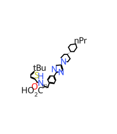 CCC[C@H]1CC[C@H](C2CCN(c3cnc(-c4ccc(C[C@H](NC(=O)c5ccc(C(C)(C)C)s5)C(=O)O)cc4)nc3)CC2)CC1